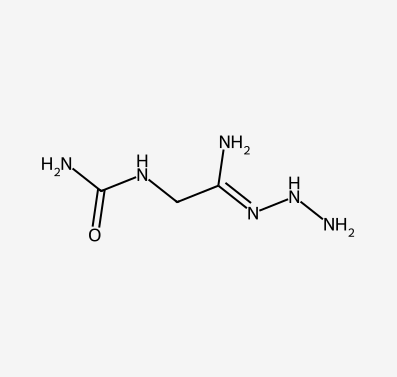 NN/N=C(\N)CNC(N)=O